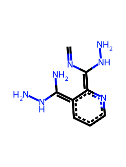 C=N/C(NN)=c1/nccc/c1=C(/N)NN